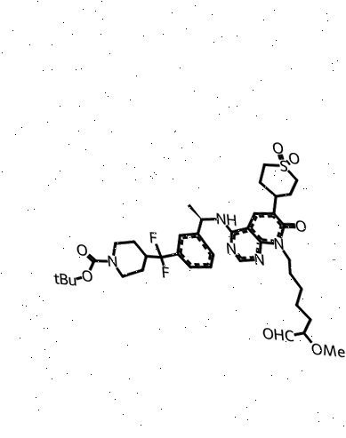 COC(C=O)CCCCCn1c(=O)c(C2CCS(=O)(=O)CC2)cc2c(N[C@H](C)c3cccc(C(F)(F)C4CCN(C(=O)OC(C)(C)C)CC4)c3)ncnc21